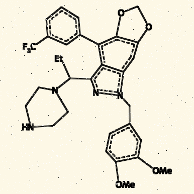 CCC(c1nn(Cc2ccc(OC)c(OC)c2)c2cc3c(c(-c4cccc(C(F)(F)F)c4)c12)OCO3)N1CCNCC1